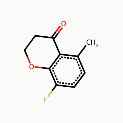 Cc1ccc(F)c2c1C(=O)CCO2